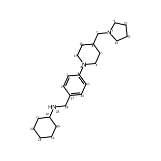 c1cc(N2CCC(CN3CCCC3)CC2)ccc1CNC1CCCCC1